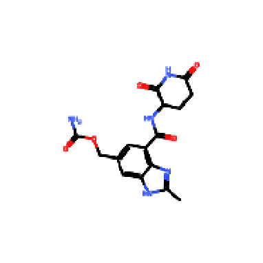 Cc1nc2c(C(=O)NC3CCC(=O)NC3=O)cc(COC(N)=O)cc2[nH]1